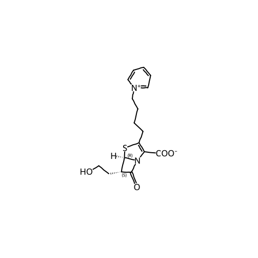 O=C([O-])C1=C(CCCC[n+]2ccccc2)S[C@@H]2[C@@H](CCO)C(=O)N12